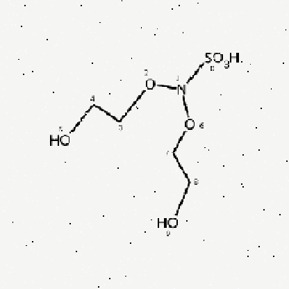 O=S(=O)(O)N(OCCO)OCCO